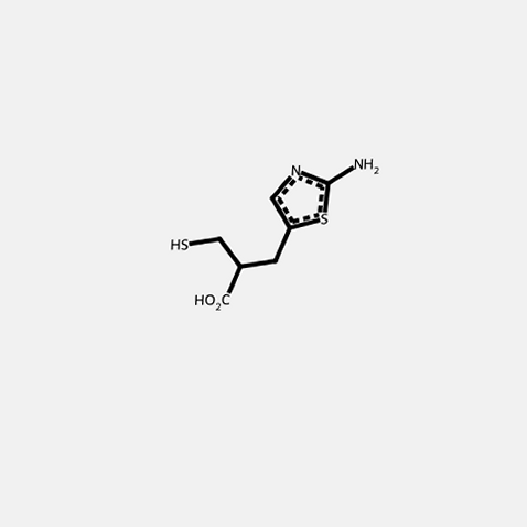 Nc1ncc(CC(CS)C(=O)O)s1